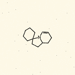 C1=CN2C(CC1)CCC21CCCCC1